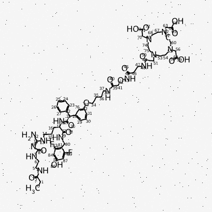 CCC(=O)NCCNC(=O)/N=C(/N)NCCC[C@@H](NC(=O)[C@@H](c1ccccc1)c1cccc(OCCCCNC(=O)CONC(=O)CCNC(=O)CN2CCN(CC(=O)O)CCN(CC(=O)O)CCN(CC(=O)O)CC2)c1)C(=O)NCc1c(F)cc(O)cc1F